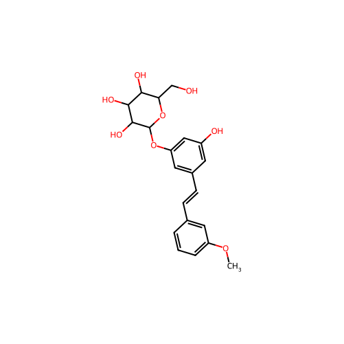 COc1cccc(/C=C/c2cc(O)cc(OC3OC(CO)C(O)C(O)C3O)c2)c1